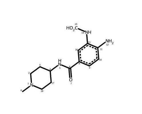 CN1CCC(NC(=O)c2ccc(N)c(NC(=O)O)c2)CC1